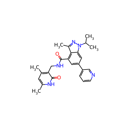 Cc1cc(C)c(CNC(=O)c2cc(-c3cccnc3)cc3c2c(C)nn3C(C)C)c(=O)[nH]1